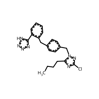 CCCCc1nc(Cl)nn1Cc1ccc(Cc2ccccc2-c2nnn[nH]2)cc1